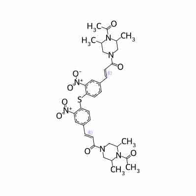 CC(=O)N1C(C)CN(C(=O)/C=C/c2ccc(Sc3ccc(/C=C/C(=O)N4CC(C)N(C(C)=O)C(C)C4)cc3[N+](=O)[O-])c([N+](=O)[O-])c2)CC1C